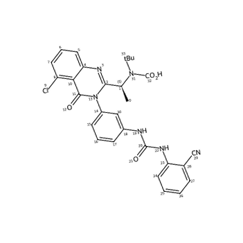 C[C@@H](c1nc2cccc(Cl)c2c(=O)n1-c1cccc(NC(=O)Nc2ccccc2C#N)c1)N(C(=O)O)C(C)(C)C